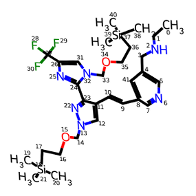 CCNCc1cncc(C=Cc2cn(COCC[Si](C)(C)C)nc2-c2nc(C(F)(F)F)cn2COCC[Si](C)(C)C)c1